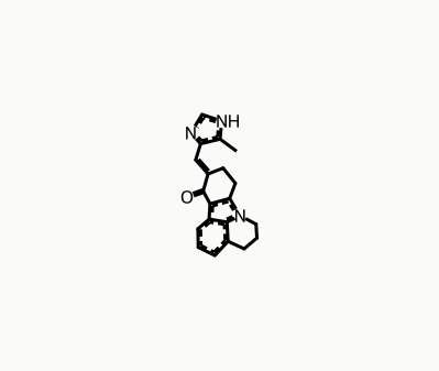 Cc1[nH]cnc1/C=C1\CCc2c(c3cccc4c3n2CCC4)C1=O